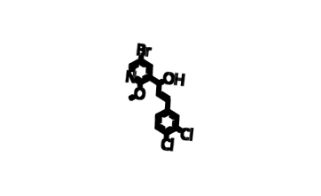 COc1ncc(Br)cc1C(O)/C=C/c1ccc(Cl)c(Cl)c1